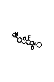 COc1c(Cc2ccc(-n3cccn3)cc2)cc2c(c1F)CN(C1CCCCC1)C2=O